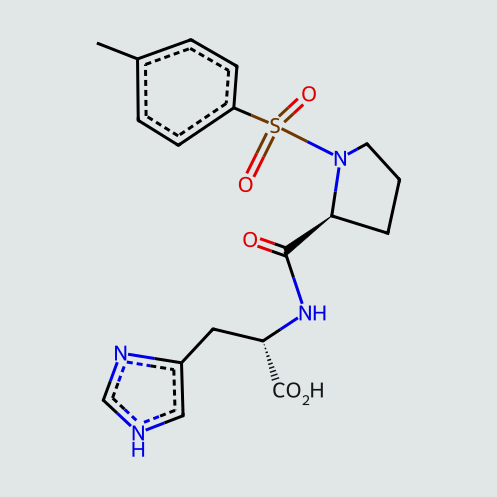 Cc1ccc(S(=O)(=O)N2CCC[C@H]2C(=O)N[C@@H](Cc2c[nH]cn2)C(=O)O)cc1